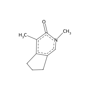 Cc1c2c(cn(C)c1=O)CCC2